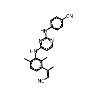 C/C(=C/C#N)c1ccc(C)c(Nc2ccnc(Nc3ccc(C#N)cc3)n2)c1C